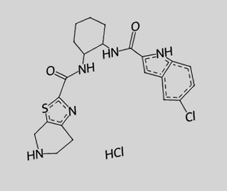 Cl.O=C(NC1CCCCC1NC(=O)c1nc2c(s1)CNCC2)c1cc2cc(Cl)ccc2[nH]1